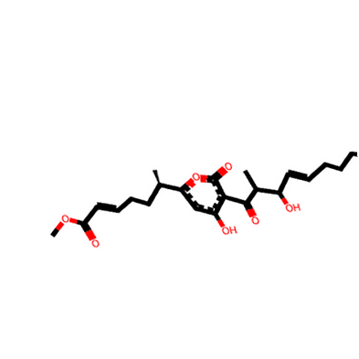 CCCCC/C=C/C(O)C(C)C(=O)c1c(O)cc([C@H](C)CC/C=C/C(=O)OC)oc1=O